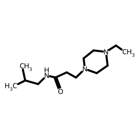 CCN1CCN(CCC(=O)NCC(C)C)CC1